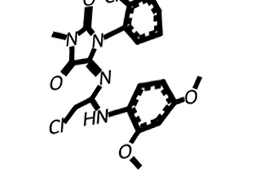 COc1ccc(NC(CCl)N=C2C(=O)N(C)C(=O)N2c2ccccc2Cl)c(OC)c1